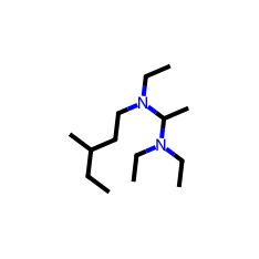 CCC(C)CCN(CC)C(C)N(CC)CC